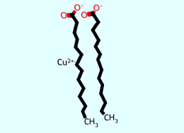 CCCCCCCCCCCCCC(=O)[O-].CCCCCCCCCCCCCC(=O)[O-].[Cu+2]